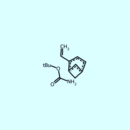 C=Cc1ccc2cc1C2.CC(C)(C)OC(N)=O